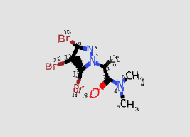 CCC(C(=O)N(C)C)n1nc(Br)c(Br)c1Br